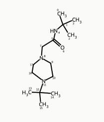 CC(C)(C)NC(=O)CN1CCN(C(C)(C)C)CC1